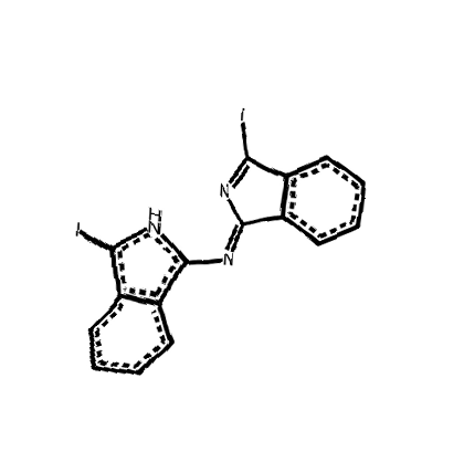 IC1=N/C(=N\c2[nH]c(I)c3ccccc23)c2ccccc21